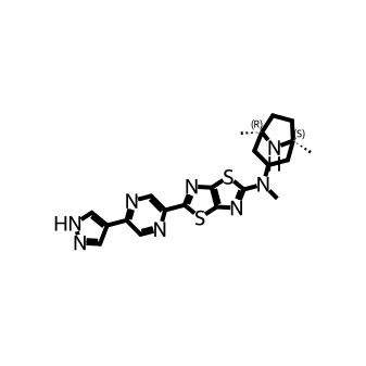 CN(c1nc2sc(-c3cnc(-c4cn[nH]c4)cn3)nc2s1)C1C[C@]2(C)CC[C@](C)(C1)N2